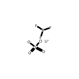 FB(F)F.O=S(=O)([O-])Cl.[Li+]